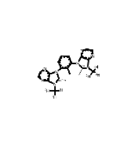 [2H]C([2H])([2H])N1c2nccnc2N(c2cccc(N3c4nccnc4N(C([2H])([2H])[2H])[C@H]3C)c2C)[C@H]1C